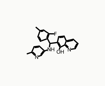 Cc1ccc(C(Nc2ccc(C)nc2)c2ccc3cccnc3c2O)c(F)c1